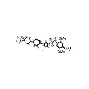 COc1cc(C(=O)O)c(OC)cc1NS(=O)(=O)c1csc(-c2ccc(C3CCC(C)(C)CC3)cc2C(F)(F)F)n1